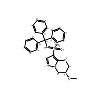 CO[C@@H]1COc2c(S(N)(=O)=NC(c3ccccc3)(c3ccccc3)c3ccccc3)cnn2C1